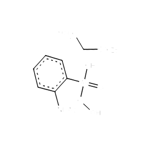 CC(=O)Nc1ccccc1[As](=O)(O)OO.CCOC(=O)CC(=O)OCC